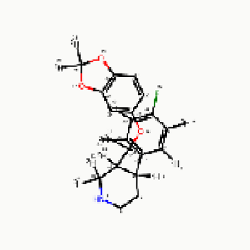 [2H]c1c([2H])c([C@]2([2H])CCNC([2H])([2H])C2([2H])C([2H])([2H])Oc2ccc3c(c2)OC([2H])([2H])O3)c([2H])c([2H])c1F